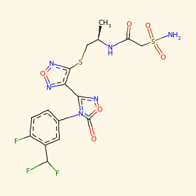 C[C@H](CSc1nonc1-c1noc(=O)n1-c1ccc(F)c(C(F)F)c1)NC(=O)CS(N)(=O)=O